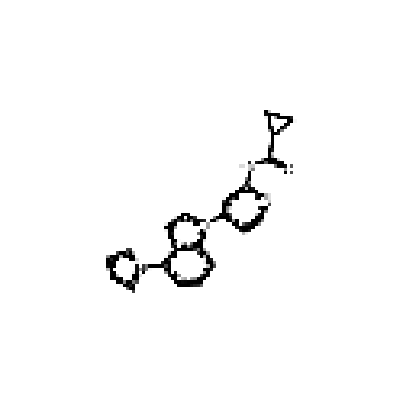 O=C(Nc1cc(-n2ccc3c(-n4cccc4)cccc32)ccn1)C1CC1